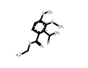 CCOC(=O)c1ccc(OC)c(OC)c1C(C)Br